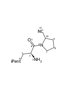 CCCC(C)C[C@H](N)C(=O)N1CCCC1C#N